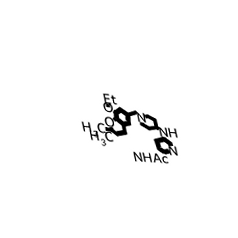 CCOc1cc(CN2CCC(Nc3ccc(NC(C)=O)nc3)CC2)cc2c1OC(C)(C)C=C2